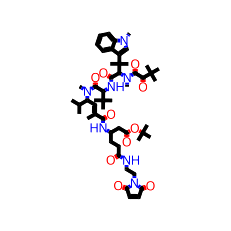 CC(=CC(C(C)C)N(C)C(=O)C(NC(=O)C(N(C)C(=O)C(=O)C(C)(C)C)C(C)(C)c1cn(C)c2ccccc12)C(C)(C)C)C(=O)NC(CCC(=O)NCCN1C(=O)C=CC1=O)CC(=O)OC(C)(C)C